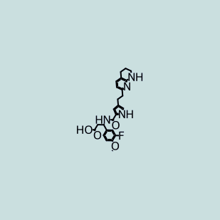 COc1ccc(C(CC(=O)O)NC(=O)c2cc(CCc3ccc4c(n3)NCCC4)c[nH]2)cc1F